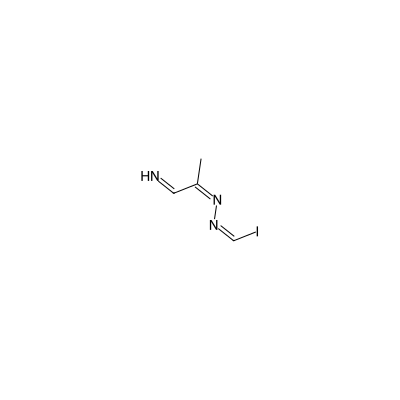 C/C(C=N)=N/N=C\I